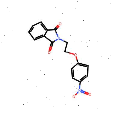 O=C1c2ccccc2C(=O)N1CCOc1ccc([N+](=O)[O-])cc1